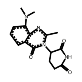 Cc1nc2c(N(C)C)cccc2c(=O)n1C1CCC(=O)NC1=O